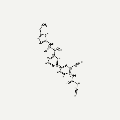 CCc1cnc(NC(=O)[C@@H](C)c2cccc(-c3cnc(NC(=O)CC#N)c(C#N)c3)c2)s1